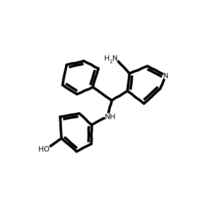 Nc1cnccc1C(Nc1ccc(O)cc1)c1ccccc1